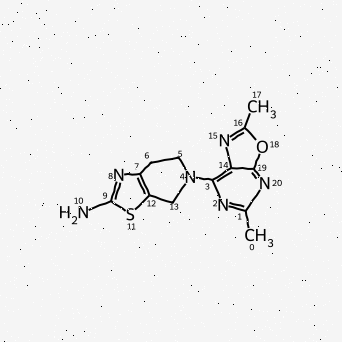 Cc1nc(N2CCc3nc(N)sc3C2)c2nc(C)oc2n1